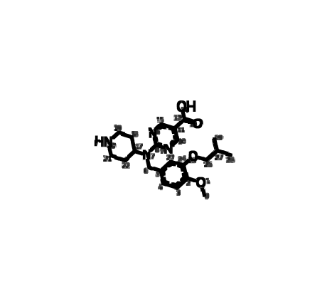 COc1ccc(CN(c2ncc(C(=O)O)cn2)C2CCNCC2)cc1OCC(C)C